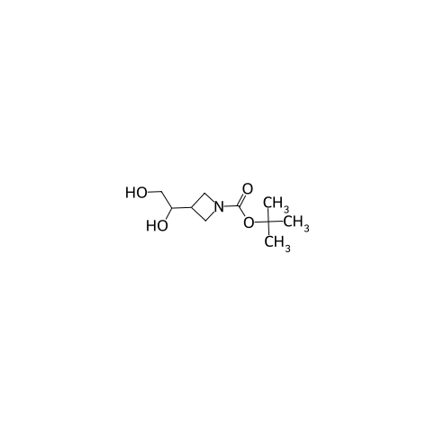 CC(C)(C)OC(=O)N1CC(C(O)CO)C1